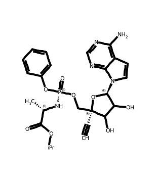 C#C[C@]1(CO[P@@](=O)(N[C@@H](C)C(=O)OC(C)C)Oc2ccccc2)O[C@@H](n2ccc3c(N)ncnc32)C(O)C1O